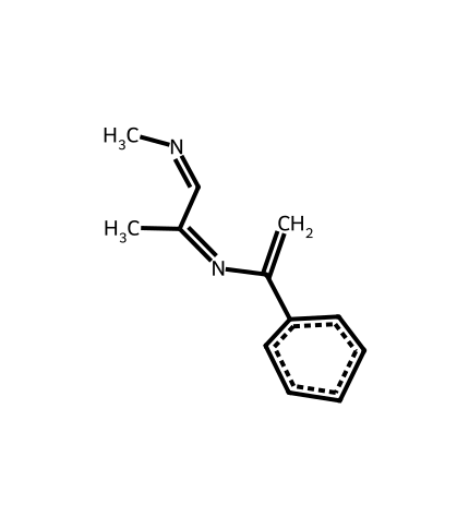 C=C(/N=C(C)\C=N/C)c1ccccc1